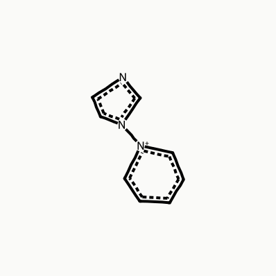 c1cc[n+](-n2ccnc2)cc1